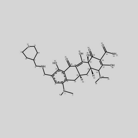 CN(C)c1cc(CNCC2CCSCC2)c(O)c2c1C[C@H]1C[C@H]3C(N(C)C)C(O)=C(C(N)=O)C(=O)[C@@]3(O)C(O)=C1C2=O